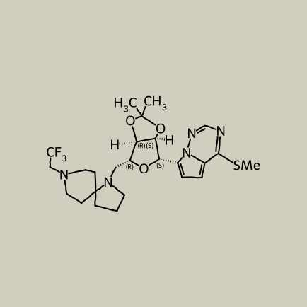 CSc1ncnn2c([C@@H]3O[C@H](CN4CCCC45CCN(CC(F)(F)F)CC5)[C@H]4OC(C)(C)O[C@H]43)ccc12